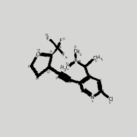 CC(c1cc(Cl)ncc1C#CC1CCO[C@H]1C(F)(F)F)N(C)C